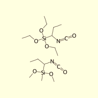 CCC(N=C=O)[Si](C)(OC)OC.CCO[Si](OCC)(OCC)C(CC)N=C=O